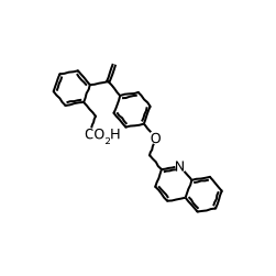 C=C(c1ccc(OCc2ccc3ccccc3n2)cc1)c1ccccc1CC(=O)O